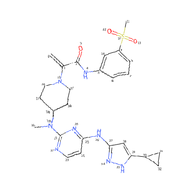 C=C(C(=O)Nc1cccc(S(C)(=O)=O)c1)N1CCC(N(C)c2nccc(Nc3cc(C4CC4)[nH]n3)n2)CC1